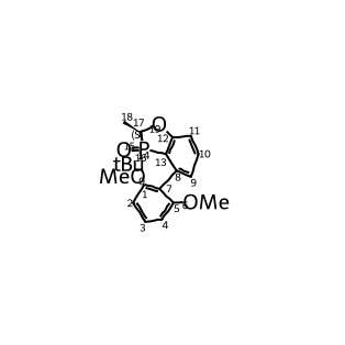 COc1cccc(OC)c1-c1cccc2c1P(=O)(C(C)(C)C)[C@@H](C)O2